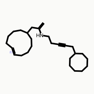 C=C(CC1CCCC/C=C/CCCC1)NCCC#CCC1CCCCCCC1